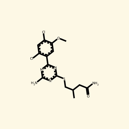 COc1cc(-c2nc(N)nc(SCC(C)CC(N)=O)n2)c(Cl)cc1Cl